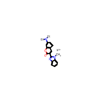 CCN(CC)c1ccc2cc(-c3nc4ccccc4n3C)c(=O)oc2c1.[Ir+3]